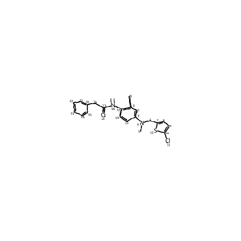 Cc1cc(N(C)Cc2ccc(Cl)s2)ccc1NC(=O)Cc1ccccc1